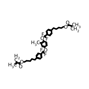 C=C(C)C(=O)OCCCCCc1ccc(C(F)(F)Oc2ccc(OC(F)(F)c3ccc(CCCCCOC(=O)C(=C)C)cc3)c(C)c2)cc1